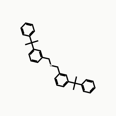 CC(C)(c1ccccc1)c1cccc(COCc2cccc(C(C)(C)c3ccccc3)c2)c1